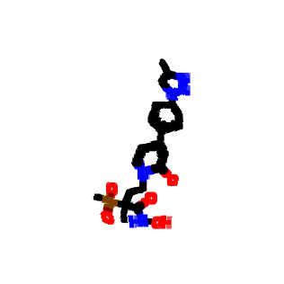 Cc1cn(-c2ccc(-c3ccn(CC[C@](C)(C(=O)NO)S(C)(=O)=O)c(=O)c3)cc2)nn1